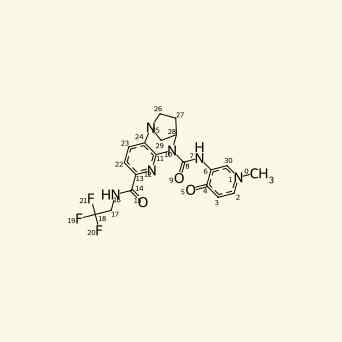 Cn1ccc(=O)c(NC(=O)N2c3nc(C(=O)NCC(F)(F)F)ccc3N3CCC2C3)c1